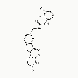 Cc1c(Cl)cccc1NC(=O)NCc1ccc2c(c1)C(=O)N(C1CCC(=O)NC1=O)C2